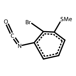 CSc1cccc(N=C=O)c1Br